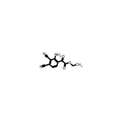 CCOC(=O)C(=O)c1ccc(C#N)c(C#N)c1N